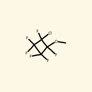 COC1(F)C(F)(F)C(F)(F)C1(F)Cl